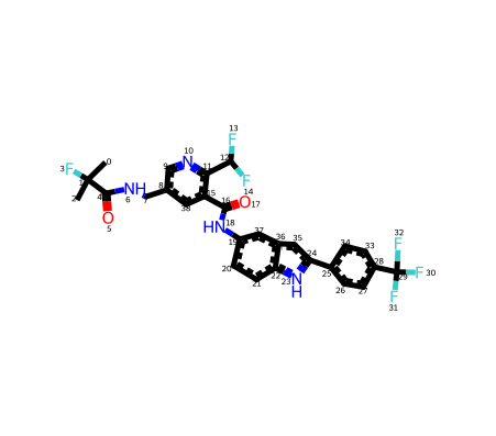 CC(C)(F)C(=O)NCc1cnc(C(F)F)c(C(=O)Nc2ccc3[nH]c(-c4ccc(C(F)(F)F)cc4)cc3c2)c1